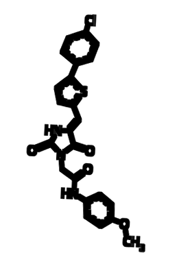 COc1ccc(NC(=O)CN2C(=O)N/C(=C\c3ccc(-c4ccc(Cl)cc4)s3)C2=O)cc1